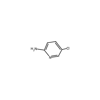 Nc1ccc(Cl)[c]n1